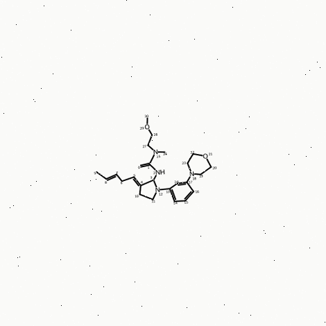 C=C(NC1/C(=C/C/C=C/C)CCN1c1cccc(N2CCOCC2)c1)N(C)CCOC